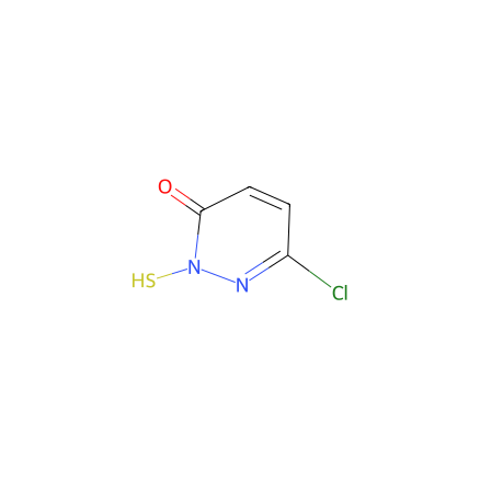 O=c1ccc(Cl)nn1S